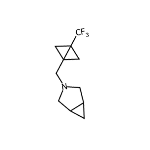 FC(F)(F)C12CC1(CN1CC3CC3C1)C2